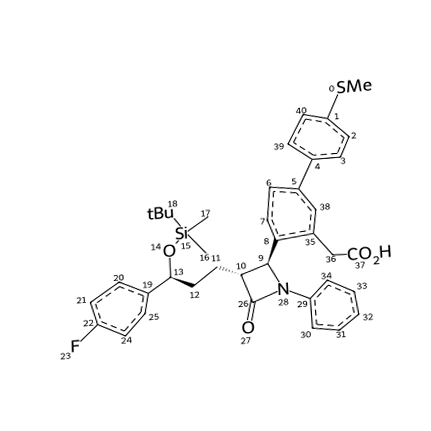 CSc1ccc(-c2ccc([C@@H]3[C@@H](CC[C@H](O[Si](C)(C)C(C)(C)C)c4ccc(F)cc4)C(=O)N3c3ccccc3)c(CC(=O)O)c2)cc1